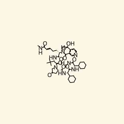 CNC(=O)/C=C/CC[C@H](NC(=O)c1cnccc1C(=O)O)C(=O)N[C@H](C(=O)N1CC(=O)C[C@H]1C(=O)N[C@H](C(=O)N[C@H](C(N)=O)C1CCCCC1)C1CCCCC1)C(C)(C)C